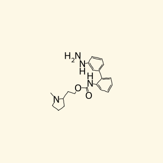 CN1CCCC1CCOC(=O)Nc1ccccc1-c1cccc(NN)c1